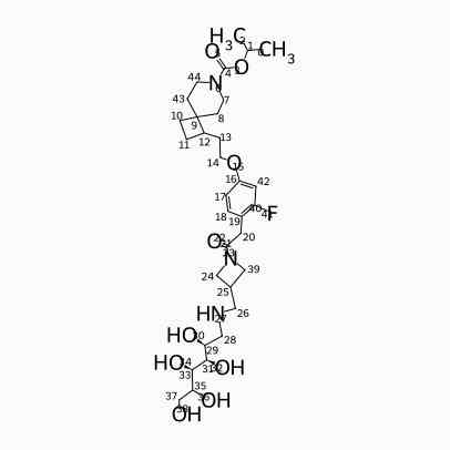 CC(C)OC(=O)N1CCC2(CCC2CCOc2ccc(CC(=O)N3CC(CNC[C@H](O)[C@@H](O)[C@H](O)C(O)CO)C3)c(F)c2)CC1